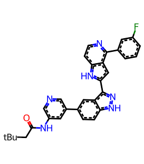 CC(C)(C)CC(=O)Nc1cncc(-c2ccc3[nH]nc(-c4cc5c(-c6cccc(F)c6)nccc5[nH]4)c3c2)c1